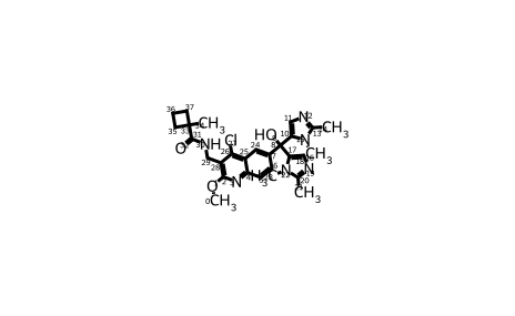 COc1nc2ccc(C(O)(c3cnc(C)n3C)c3cnc(C)n3C)cc2c(Cl)c1CNC(=O)C1(C)CCC1